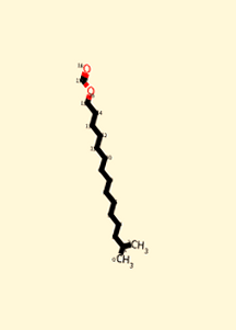 CC(C)CCCCCCCCCCCCCOC=O